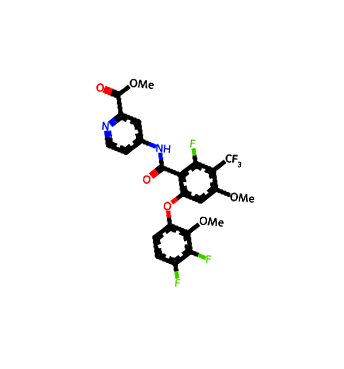 COC(=O)c1cc(NC(=O)c2c(Oc3ccc(F)c(F)c3OC)cc(OC)c(C(F)(F)F)c2F)ccn1